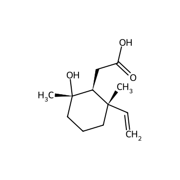 C=C[C@]1(C)CCC[C@](C)(O)[C@H]1CC(=O)O